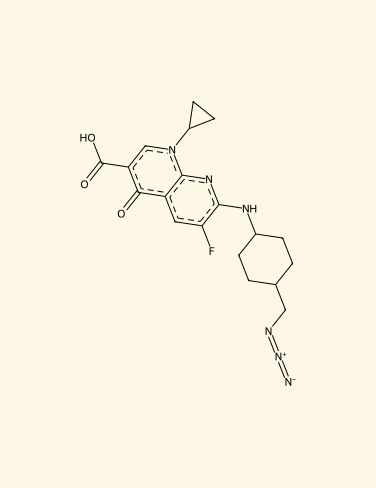 [N-]=[N+]=NCC1CCC(Nc2nc3c(cc2F)c(=O)c(C(=O)O)cn3C2CC2)CC1